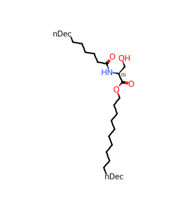 CCCCCCCCCCCCCCCCCCCCOC(=O)[C@H](CO)NC(=O)CCCCCCCCCCCCCCC